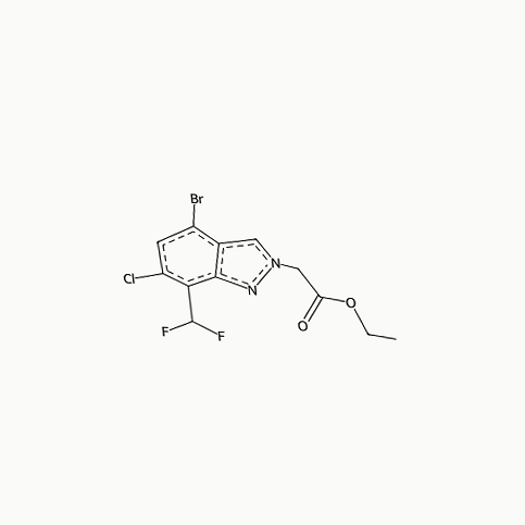 CCOC(=O)Cn1cc2c(Br)cc(Cl)c(C(F)F)c2n1